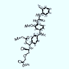 COC(=O)COCC(=O)NC(CC(=O)OC)c1ccc(N(C(C)=O)c2ccc(NC(=O)Nc3ccccc3C)c(OC)c2)cc1